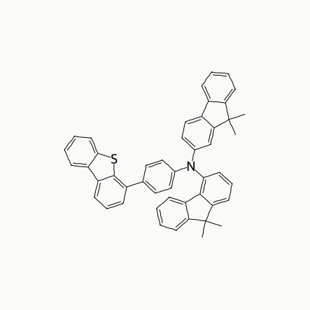 CC1(C)c2ccccc2-c2ccc(N(c3ccc(-c4cccc5c4sc4ccccc45)cc3)c3cccc4c3-c3ccccc3C4(C)C)cc21